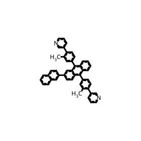 Cc1cc(-c2c3ccccc3c(-c3ccc(-c4cccnc4)c(C)c3)c3cc(-c4ccc5ccccc5c4)ccc23)ccc1-c1cccnc1